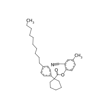 CCCCCCCCCCc1ccc(C2(C(=O)Oc3ccc(C)cc3C#N)CCCCC2)cc1